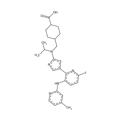 Cc1ccnc(Nc2ccc(I)nc2-c2cnc(N(CC3CCC(C(=O)O)CC3)C(C)C)s2)c1